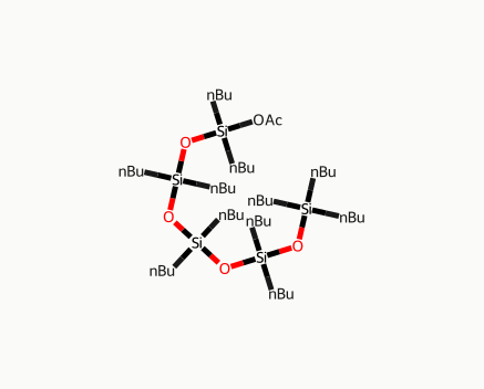 CCCC[Si](CCCC)(CCCC)O[Si](CCCC)(CCCC)O[Si](CCCC)(CCCC)O[Si](CCCC)(CCCC)O[Si](CCCC)(CCCC)OC(C)=O